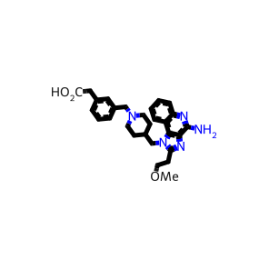 COCCc1nc2c(N)nc3ccccc3c2n1CC1CCN(Cc2cccc(CC(=O)O)c2)CC1